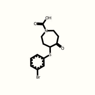 O=C1CCN(C(=O)O)CCC1Sc1cccc(Br)c1